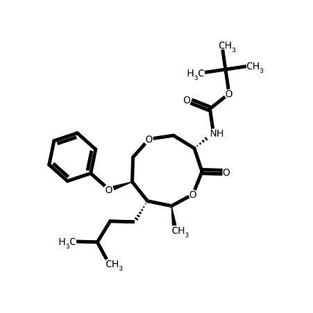 CC(C)CC[C@H]1[C@H](C)OC(=O)[C@@H](NC(=O)OC(C)(C)C)COC[C@@H]1Oc1ccccc1